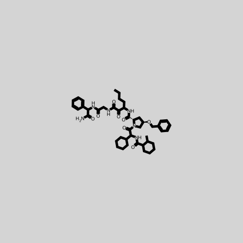 CCCCC(NC(=O)[C@@H]1C[C@@H](OCc2ccccc2)CN1C(=O)C(NC(=O)C1CCCCC1C)C1CCCCC1)C(=O)C(=O)NCC(=O)NC(C(N)=O)c1ccccc1